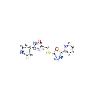 c1ccc(-c2nnc(SCc3nc(-c4ccncc4)no3)o2)nc1